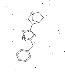 c1ccc(Cc2nsc(C3CN4CCC3C4)n2)cc1